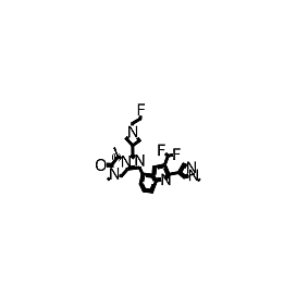 C[C@@H]1C(=O)N(C)Cc2c(-c3cccc4nc(-c5cnn(C)c5)c(C(F)F)cc34)nc(C3CN(CCF)C3)n21